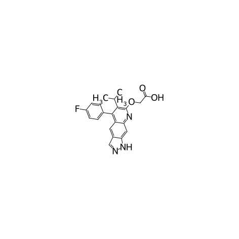 CC(C)c1c(OCC(=O)O)nc2cc3[nH]ncc3cc2c1-c1ccc(F)cc1